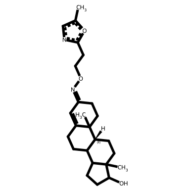 Cc1cnc(CCON=C2C=C3CCC4C5CCC(O)C5(C)CC[C@H]4C3(C)CC2)o1